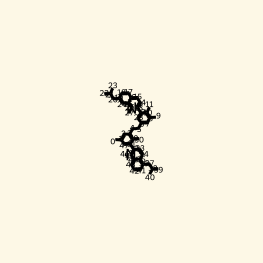 Cc1cc(CCc2cc(C)c(C)c(-c3ccc4ccc(CC(C)C)cc4[n+]3C)c2)c(C)c(-c2ccc3c(CC(C)C)cccc3[n+]2C)c1